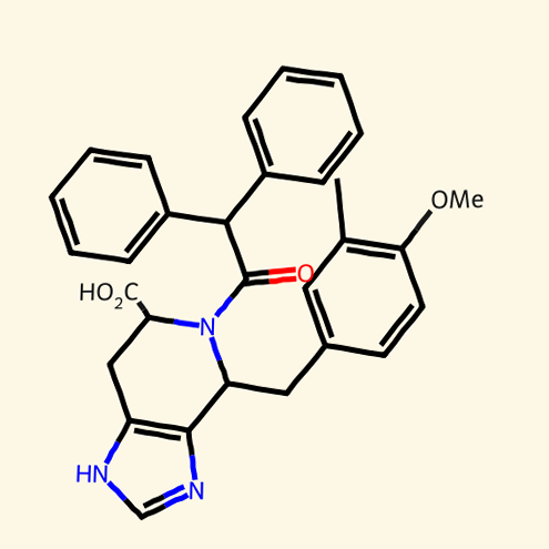 COc1ccc(CC2c3nc[nH]c3CC(C(=O)O)N2C(=O)C(c2ccccc2)c2ccccc2)cc1C